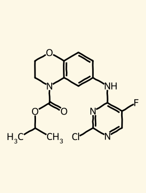 CC(C)OC(=O)N1CCOc2ccc(Nc3nc(Cl)ncc3F)cc21